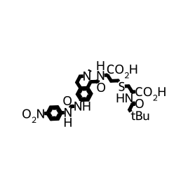 CN1CCc2cc(NC(=O)Nc3ccc([N+](=O)[O-])cc3)ccc2C1C(=O)NC(CCSCC(NC(=O)CC(C)(C)C)C(=O)O)C(=O)O